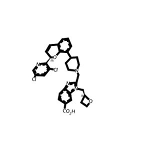 O=C(O)c1ccc2nc(CN3CCC(c4cccc5c4O[C@@H](c4ncc(Cl)cc4Cl)C=C5)CC3)n(C[C@@H]3CCO3)c2c1